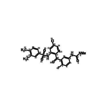 CNC(=O)Nc1ccc(F)c(C(=O)c2ncc(Cl)cc2NS(=O)(=O)c2ccc(C)c(C)c2)c1